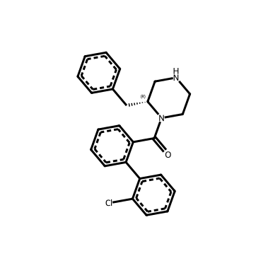 O=C(c1ccccc1-c1ccccc1Cl)N1CCNC[C@H]1Cc1ccccc1